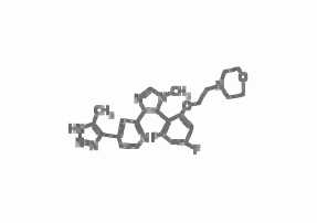 Cc1[nH]nnc1-c1ccnc(-c2ncn(C)c2-c2c(F)cc(F)cc2OCCN2CCOCC2)c1